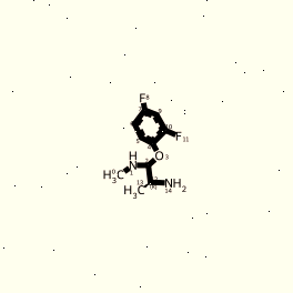 CNC(Oc1ccc(F)cc1F)[C@@H](C)N